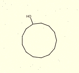 OC1CCCCCCCCCCCC1